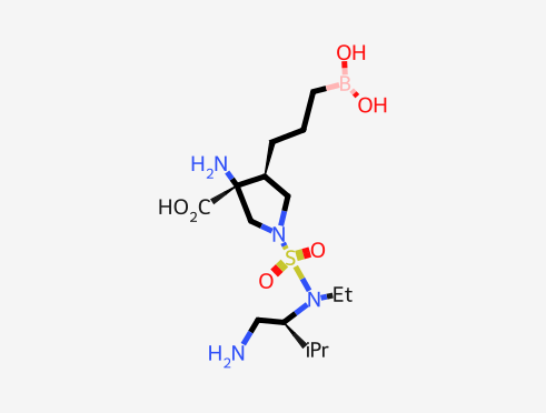 CCN([C@H](CN)C(C)C)S(=O)(=O)N1C[C@H](CCCB(O)O)[C@](N)(C(=O)O)C1